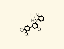 COc1ccc(C2CC(=O)C=C(Nc3ccccc3N)C2)cc1OC